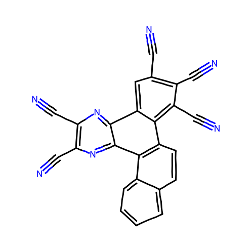 N#Cc1cc2c3nc(C#N)c(C#N)nc3c3c4ccccc4ccc3c2c(C#N)c1C#N